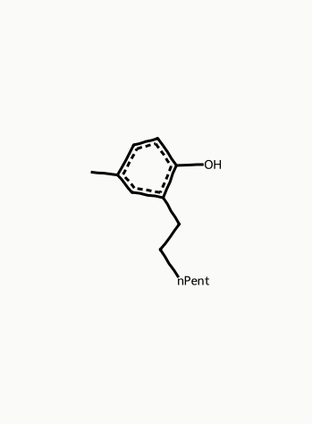 CCCCCCCc1cc(C)ccc1O